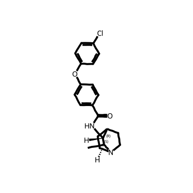 C[C@H]1[C@H](NC(=O)c2ccc(Oc3ccc(Cl)cc3)cc2)C2CCN1CC2